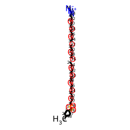 Cc1ccc(S(=O)(=O)OCCOCCOCCOCCOCCOCCOCCOCCOCCOCCOCCOCCN=[N+]=[N-])cc1